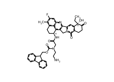 CC[C@@]1(O)C(=O)CCc2c1cc1n(c2=O)Cc2c-1nc1cc(F)c(C)c3c1c2[C@@H](NC(=O)CN(CCN)C(=O)OCC1c2ccccc2-c2ccccc21)CC3